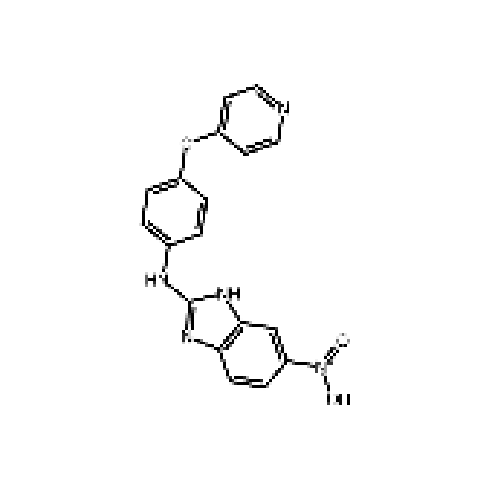 O=[N+](O)c1ccc2nc(Nc3ccc(Oc4ccncc4)cc3)[nH]c2c1